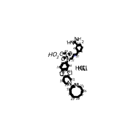 Cl.Cl.N=C(N)c1cccc(/C=C/CN(c2ccc(OC3CCN(C4=NCCCCCCC4)CC3)c(Cl)c2)S(=O)(=O)CC(=O)O)c1